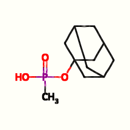 CP(=O)(O)OC12CC3CC(CC(C3)C1)C2